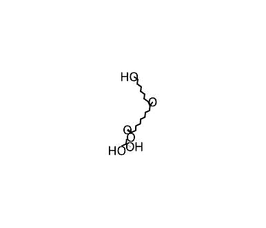 O=C(CCCCCCCC1OC1CCCCCCO)OC[C@H](O)CO